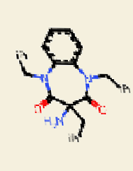 CC(C)CN1C(=O)C(N)(CC(C)C)C(=O)N(CC(C)C)c2ccccc21